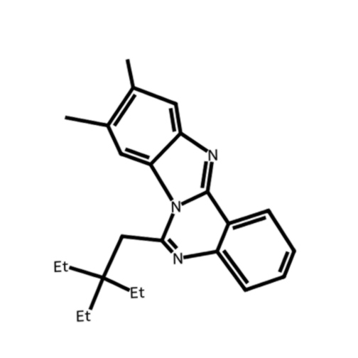 CCC(CC)(CC)Cc1nc2ccccc2c2nc3cc(C)c(C)cc3n12